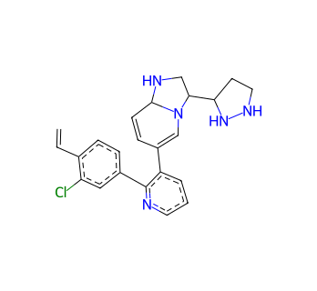 C=Cc1ccc(-c2ncccc2C2=CN3C(C=C2)NCC3C2CCNN2)cc1Cl